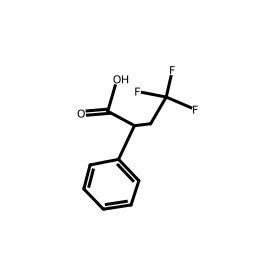 O=C(O)C(CC(F)(F)F)c1ccccc1